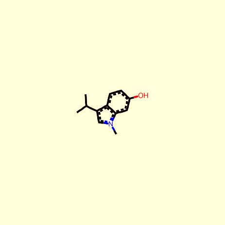 CC(C)c1cn(C)c2cc(O)ccc12